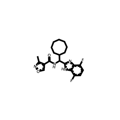 Cc1nocc1C(=O)NC(c1nc2c(F)ccc(F)c2[nH]1)C1CCCCCCC1